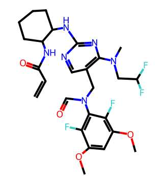 C=CC(=O)NC1CCCCC1Nc1ncc(CN(C=O)c2c(F)c(OC)cc(OC)c2F)c(N(C)CC(F)F)n1